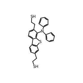 SCCc1ccc2c(c1)sc1c(N(c3ccccc3)c3ccccc3)c(CCS)ccc12